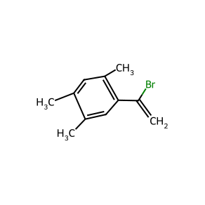 C=C(Br)c1cc(C)c(C)cc1C